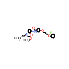 O=C(O)CCCN1CC(OC(=O)O)Oc2c(NC(=O)c3ccc(OCCCCOc4ccccc4F)cc3)cccc21